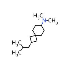 CC(C)C[C@H]1CC2(CC[C@H](N(C)C)CC2)C1